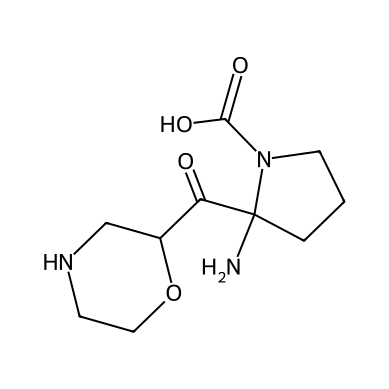 NC1(C(=O)C2CNCCO2)CCCN1C(=O)O